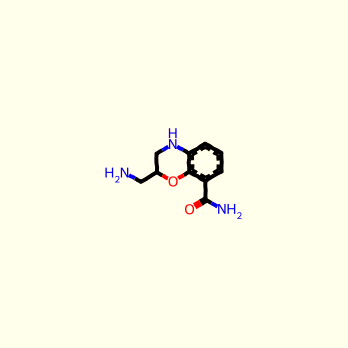 NCC1CNc2cccc(C(N)=O)c2O1